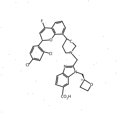 O=C(O)c1ccc2nc(CN3CCC(c4cccc5c4OC(c4ccc(Cl)cc4Cl)C=C5F)CC3)n(C[C@@H]3CCO3)c2c1